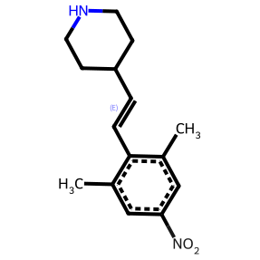 Cc1cc([N+](=O)[O-])cc(C)c1/C=C/C1CCNCC1